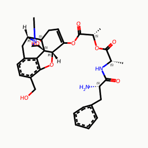 C[C@H](NC(=O)[C@@H](N)Cc1ccccc1)C(=O)O[C@@H](C)C(=O)OC1=CC[C@@]2(O)[C@H]3Cc4ccc(CO)c5c4[C@@]2(CCN3C)[C@H]1O5